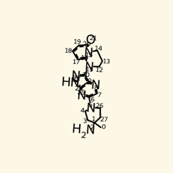 CC1(N)CCN(c2cnc3c(N4CCCn5c4cccc5=O)n[nH]c3n2)CC1